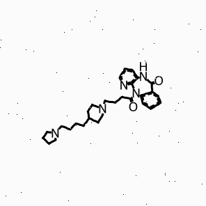 O=C1Nc2cccnc2N(C(=O)CCCN2CCC(CCCCN3CCCC3)CC2)c2ccccc21